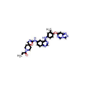 C=CC(=O)N1CCC2(CC1)CN=C(Nc1ccc3ncnc(Nc4ccc(Oc5cc6nncn6cn5)c(C)c4)c3c1)O2